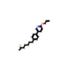 C=CCOc1ccc(-c2ccc(CCCCCC(C)F)cc2)cn1